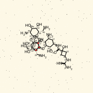 N=C(N)NC1CC(O)(C(=O)N[C@@H]2C[C@H](N)[C@@H](O[C@H]3O[C@H](CN)[C@@H](O)[C@H](O)[C@H]3N)[C@H](O[C@@H]3O[C@H](CO)[C@@H](O[C@H]4O[C@@H](CN)[C@@H](O)[C@H](O)[C@H]4N)[C@H]3O)[C@H]2O)C1